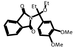 CCOC(CC)(c1ccc(OC)c(OC)c1)N1C(=O)c2ccccc2C1=O